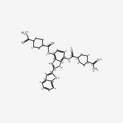 CC(=O)C1CCC(C(=O)Oc2ccc(OC(=O)C3CCC(C(C)=O)CC3)c3sc(-c4cc5ccccc5s4)nc23)CC1